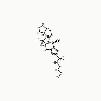 CCCN1C(=O)c2cc(C(=O)NCCOC)nn2CC1(C)C(=O)NC1CCCC1